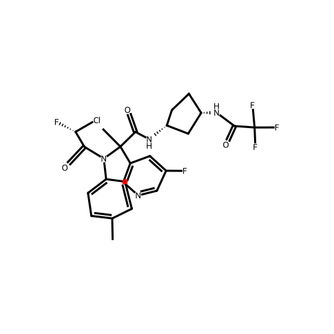 Cc1ccc(N(C(=O)[C@H](F)Cl)C(C)(C(=O)N[C@@H]2CC[C@H](NC(=O)C(F)(F)F)C2)c2cncc(F)c2)cc1